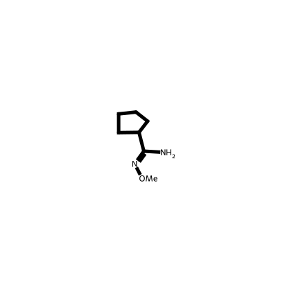 CO/N=C(\N)C1CCCC1